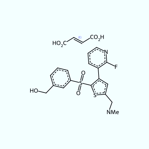 CNCc1cc(-c2cccnc2F)c(S(=O)(=O)c2cccc(CO)c2)s1.O=C(O)/C=C/C(=O)O